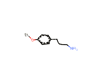 CCOc1ccc(CCCN)cc1